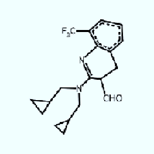 O=CC1Cc2cccc(C(F)(F)F)c2N=C1N(CC1CC1)CC1CC1